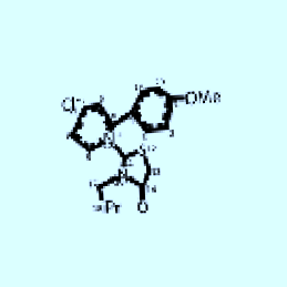 COc1ccc(-c2cccc[n+]2C2SCC(=O)N2CC(C)C)cc1.[Cl-]